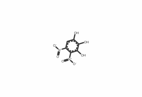 O=[N+]([O-])c1cc(O)c(O)c(O)c1[N+](=O)[O-]